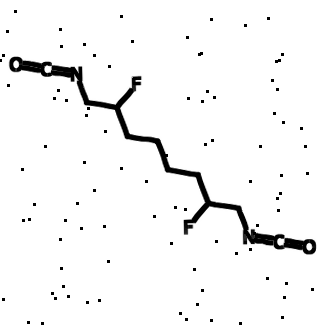 O=C=NCC(F)CCCCC(F)CN=C=O